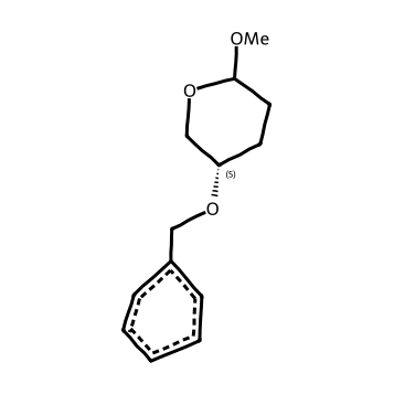 COC1CC[C@H](OCc2ccccc2)CO1